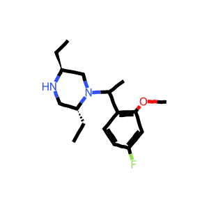 CC[C@H]1CN(C(C)c2ccc(F)cc2OC)[C@H](CC)CN1